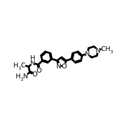 CC(NC(=O)c1cccc(-c2cc(-c3ccc(N4CCN(C)CC4)cc3)on2)c1)C(N)=O